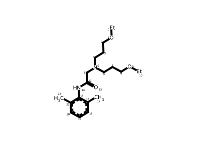 CCOCCCN(CCCOCC)CC(=O)Nc1c(C)cccc1C